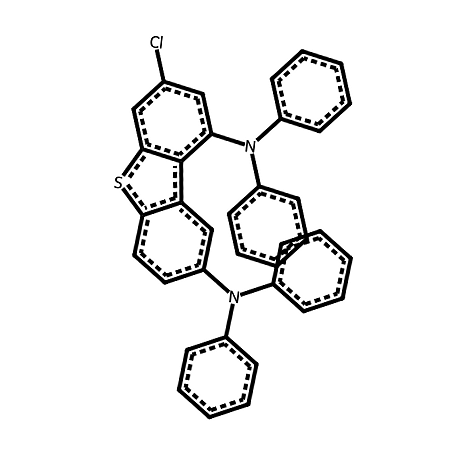 Clc1cc(N(c2ccccc2)c2ccccc2)c2c(c1)sc1ccc(N(c3ccccc3)c3ccccc3)cc12